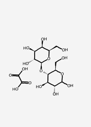 O=C(O)C(=O)O.OC[C@H]1O[C@@H](O[C@H]2[C@H](O)[C@@H](O)C(O)O[C@@H]2CO)[C@H](O)[C@@H](O)[C@H]1O